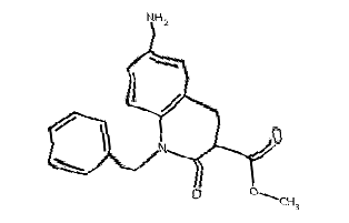 COC(=O)C1Cc2cc(N)ccc2N(Cc2ccccc2)C1=O